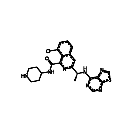 C[C@H](Nc1ncnc2scnc12)c1cc2cccc(Cl)c2c(C(=O)NC2CCNCC2)n1